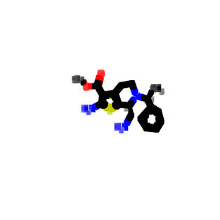 C[C@@H](c1ccccc1)N1CCc2c(sc(N)c2C(=O)OC(C)(C)C)[C@@H]1CN